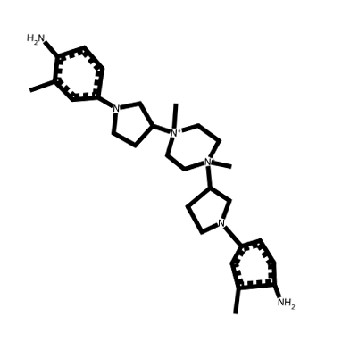 Cc1cc(N2CCC([N+]3(C)CC[N+](C)(C4CCN(c5ccc(N)c(C)c5)C4)CC3)C2)ccc1N